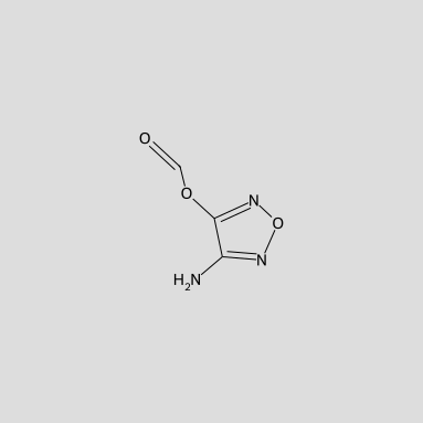 Nc1nonc1OC=O